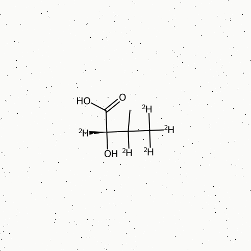 [2H]C([2H])([2H])C([2H])(C)[C@]([2H])(O)C(=O)O